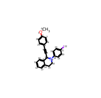 COc1ccc(C#CC2c3ccccc3CCN2c2ccc(I)cc2)cc1